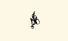 CCCOCC(=O)OCCC(C)(C)OC